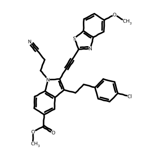 COC(=O)c1ccc2c(c1)c(CCc1ccc(Cl)cc1)c(C#Cc1nc3cc(OC)ccc3s1)n2CCC#N